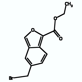 CCOC(=O)c1occ2cc(CBr)ccc12